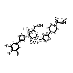 CO[C@@H]1[C@@H](n2cc(-c3cc(F)c(F)c(F)c3)nn2)[C@@H](O)[C@@H](CO)O[C@@H]1Cc1cc(C2CCN(C(=O)NC(C)C)CC2)on1